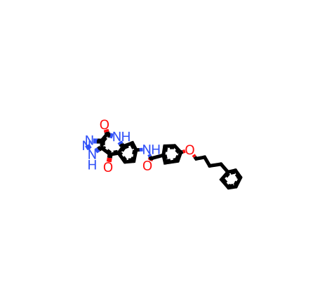 O=C(Nc1ccc2c(=O)c3[nH]nnc3c(=O)[nH]c2c1)c1ccc(OCCCCc2ccccc2)cc1